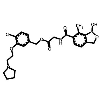 Cc1c(C(=O)NCC(=O)OCc2ccc(Cl)c(OCCN3CCCC3)c2)ccc2c1B(O)OC2